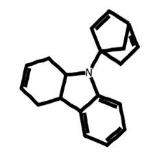 C1=CCC2C(C1)c1ccccc1N2C12C=CC(=CC1)C2